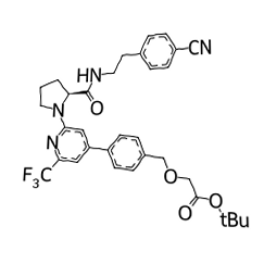 CC(C)(C)OC(=O)COCc1ccc(-c2cc(N3CCC[C@H]3C(=O)NCCc3ccc(C#N)cc3)nc(C(F)(F)F)c2)cc1